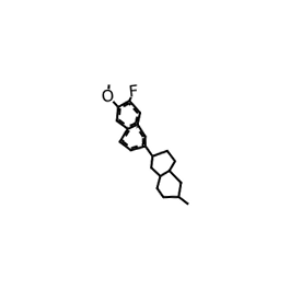 COc1cc2ccc(C3CCC4CC(C)CCC4C3)cc2cc1F